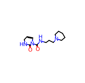 O=C1NCC=CN1C(=O)NCCCN1CCCCC1